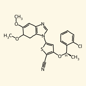 COC1=Cc2ncn(-c3cc(O[C@H](C)c4ccccc4Cl)c(C#N)s3)c2CC1OC